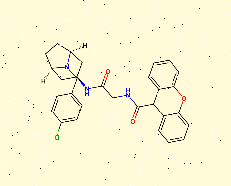 O=C(CNC(=O)C1c2ccccc2Oc2ccccc21)N[C@H]1C[C@H]2CC[C@@H](C1)N2Cc1ccc(Cl)cc1